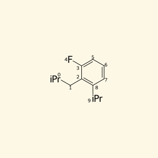 CC(C)Cc1c(F)cccc1C(C)C